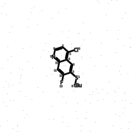 CC(C)(C)Sc1cc2c(Cl)ccnc2cc1F